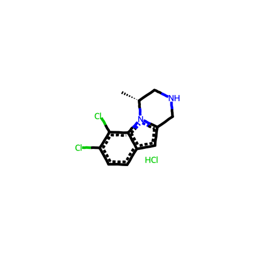 C[C@@H]1CNCc2cc3ccc(Cl)c(Cl)c3n21.Cl